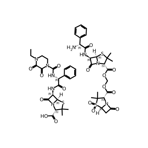 CC1(C)S[C@@H]2[C@H](NC(=O)[C@H](N)c3ccccc3)C(=O)N2[C@H]1C(=O)OCOC(=O)[C@@H]1N2C(=O)C[C@H]2S(=O)(=O)C1(C)C.CCN1CCN(C(=O)N[C@@H](C(=O)N[C@@H]2C(=O)N3[C@@H]2SC(C)(C)[C@@H]3C(=O)O)c2ccccc2)C(=O)C1=O